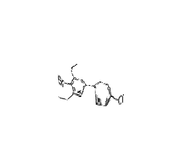 CCc1cc(-c2ccc(Cl)cc2)cc(CC)c1Br